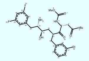 CCCCC(=O)C[C@@H](NC(=O)OC)C(=O)N(Cc1cccc(CC)c1)C[C@@H](O)[C@@H](N)Cc1cc(F)cc(F)c1